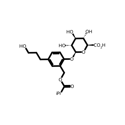 CC(C)C(=O)OCc1cc(CCCO)ccc1O[C@@H]1O[C@H](C(=O)O)[C@@H](O)[C@H](O)[C@H]1O